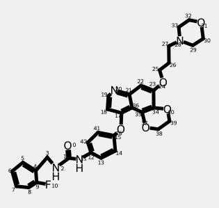 O=C(NCc1ccccc1F)Nc1ccc(Oc2ccnc3cc(OCCCN4CCOCC4)c4c(c23)OCCO4)cc1